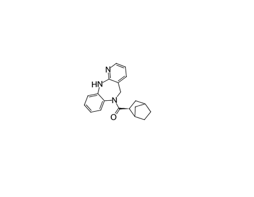 O=C([C@H]1CC2CCC1C2)N1Cc2cccnc2Nc2ccccc21